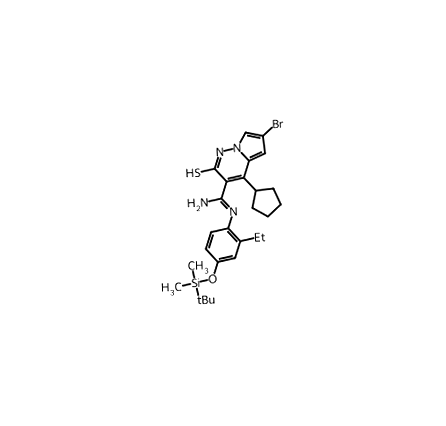 CCc1cc(O[Si](C)(C)C(C)(C)C)ccc1N=C(N)c1c(S)nn2cc(Br)cc2c1C1CCCC1